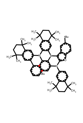 CC(C)(C)c1cc2c3c(c1)N(c1ccc4c(c1)C(C)(C)CCC4(C)C)c1oc4ccc(C(C)(C)C)cc4c1B3c1cc3c(cc1N2c1cc2c(cc1-c1ccccc1)C(C)(C)CCC2(C)C)C(C)(C)CCC3(C)C